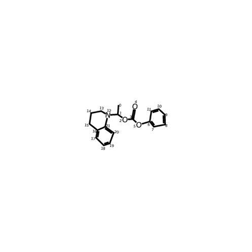 CC(OC(=O)Oc1ccccc1)N1CCCc2ccccc21